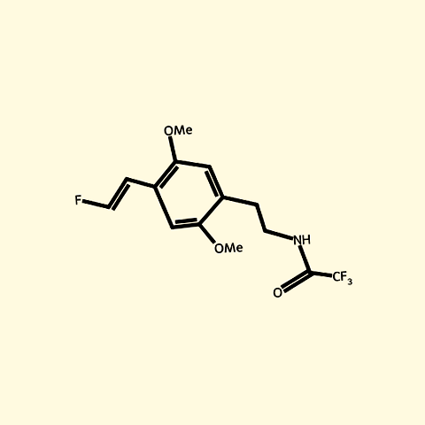 COc1cc(CCNC(=O)C(F)(F)F)c(OC)cc1C=CF